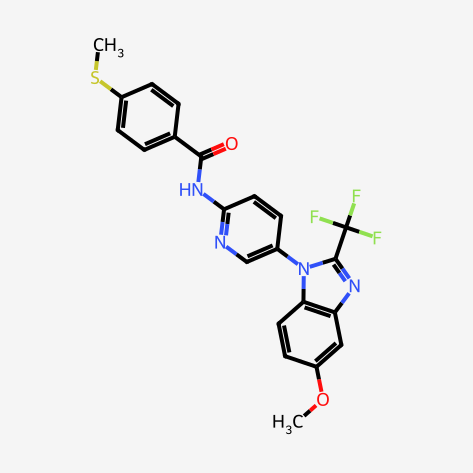 COc1ccc2c(c1)nc(C(F)(F)F)n2-c1ccc(NC(=O)c2ccc(SC)cc2)nc1